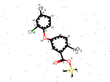 CS(C)(C)OC(=O)c1cc(Oc2ccc(C(F)(F)F)cc2Cl)ccc1[N+](=O)[O-]